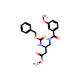 COC(=O)CC(CNC(=O)c1cccc(OC)c1)NC(=O)OCc1ccccc1